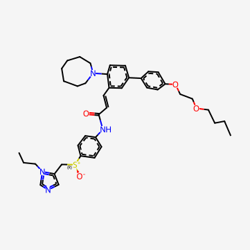 CCCCOCCOc1ccc(-c2ccc(N3CCCCCCC3)c(C=CC(=O)Nc3ccc([S@@+]([O-])Cc4cncn4CCC)cc3)c2)cc1